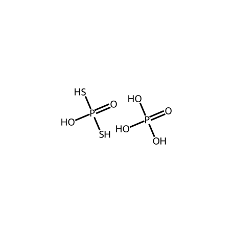 O=P(O)(O)O.O=P(O)(S)S